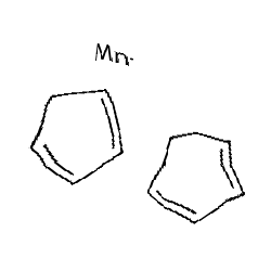 C1=CCC=C1.C1=CCC=C1.[Mn]